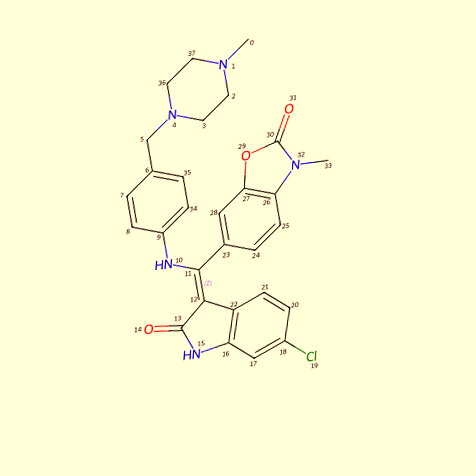 CN1CCN(Cc2ccc(N/C(=C3\C(=O)Nc4cc(Cl)ccc43)c3ccc4c(c3)oc(=O)n4C)cc2)CC1